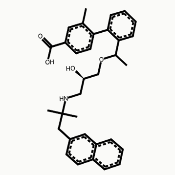 Cc1cc(C(=O)O)ccc1-c1ccccc1C(C)OC[C@H](O)CNC(C)(C)Cc1ccc2ccccc2c1